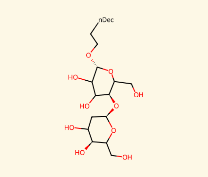 CCCCCCCCCCCCO[C@@H]1OC(CO)[C@@H](O[C@@H]2CC(O)[C@H](O)C(CO)O2)C(O)C1O